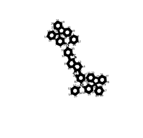 c1ccc(N(c2cccc(C3(c4ccccc4)c4ccccc4-c4ccccc43)c2)c2ccc3c(c2)sc2c3ccc3c2ccc2c4ccc(N(c5ccccc5)c5cccc(C6(c7ccccc7)c7ccccc7-c7ccccc76)c5)cc4sc23)cc1